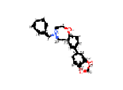 c1ccc(CN2CCOc3ccc(-c4ccc5c(c4)OCO5)cc3C2)cc1